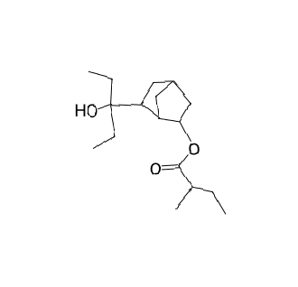 CCC(C)C(=O)OC1CC2CC1C(C(O)(CC)CC)C2